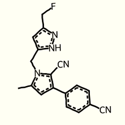 Cc1cc(-c2ccc(C#N)cc2)c(C#N)n1Cc1cc(CF)n[nH]1